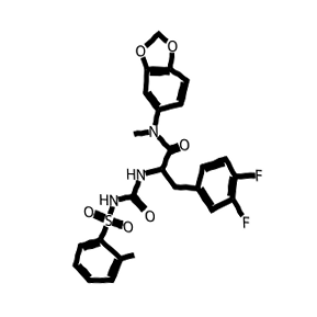 Cc1ccccc1S(=O)(=O)NC(=O)NC(Cc1ccc(F)c(F)c1)C(=O)N(C)c1ccc2c(c1)OCO2